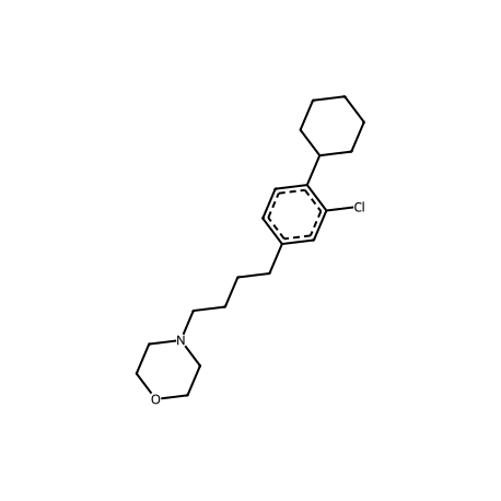 Clc1cc(CCCCN2CCOCC2)ccc1C1CCCCC1